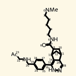 CNCCCCCNC(=O)C1CC2CC1C1=C(c3ccc(CNCC(C)=O)cc3)NN=CC12